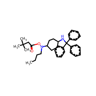 CCCCN(OC(=O)CC(C)(C)C)C1CCC(NC(c2ccccc2)(c2ccccc2)c2ccccc2)CC1